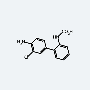 Nc1ccc(-c2ccccc2NC(=O)O)cc1Cl